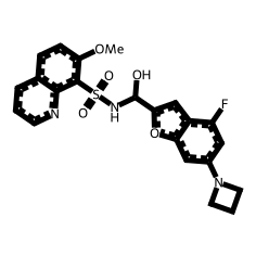 COc1ccc2cccnc2c1S(=O)(=O)NC(O)c1cc2c(F)cc(N3CCC3)cc2o1